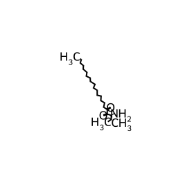 CCCCCCCCCCCCCCCCCC(=O)C(=O)[C@@H](N)C(C)C